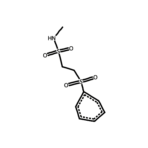 CNS(=O)(=O)CCS(=O)(=O)c1ccccc1